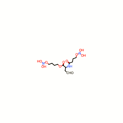 O=CCC(NC(=O)CCCON(O)O)C(=O)OCCCCON(O)O